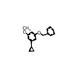 COc1cc(OCc2ccccc2)cc(C2CC2)c1